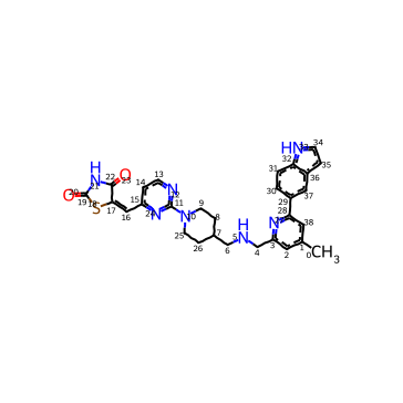 Cc1cc(CNCC2CCN(c3nccc(C=C4SC(=O)NC4=O)n3)CC2)nc(-c2ccc3[nH]ccc3c2)c1